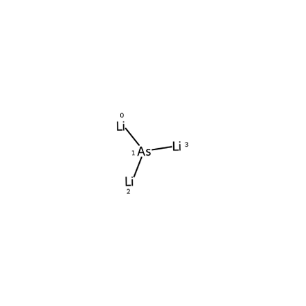 [Li][As]([Li])[Li]